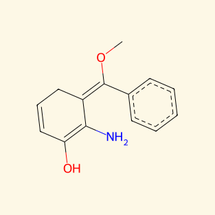 COC(=C1CC=CC(O)=C1N)c1ccccc1